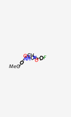 COCc1ccc(CNC(=O)N(C)CC2CCN(CC(=O)c3ccc(F)cc3)CC2)cc1